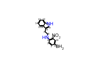 Bc1ccc(NCCc2c[nH]c3ccccc23)c([N+](=O)[O-])c1